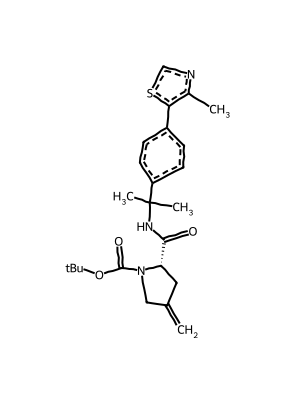 C=C1C[C@@H](C(=O)NC(C)(C)c2ccc(-c3scnc3C)cc2)N(C(=O)OC(C)(C)C)C1